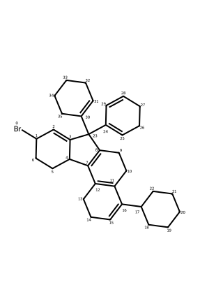 BrC1C=C2C(CC1)C1=C(CCC3=C1CCC=C3C1CCCCC1)C2(C1=CCCC=C1)C1=CCCCC1